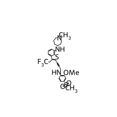 COc1cc(S(C)(=O)=O)ccc1NCC#Cc1sc2c(NC3CCCN(C)CC3)cccc2c1CC(F)(F)F